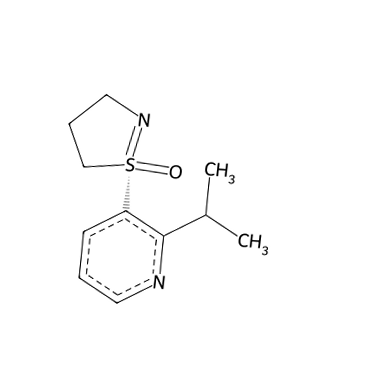 CC(C)c1ncccc1[S@@]1(=O)=NCCC1